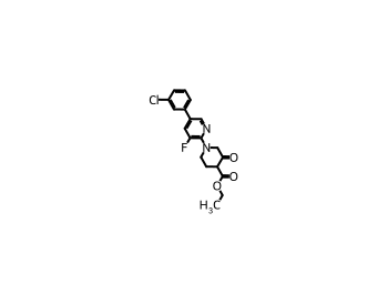 CCOC(=O)C1CCN(c2ncc(-c3cccc(Cl)c3)cc2F)CC1=O